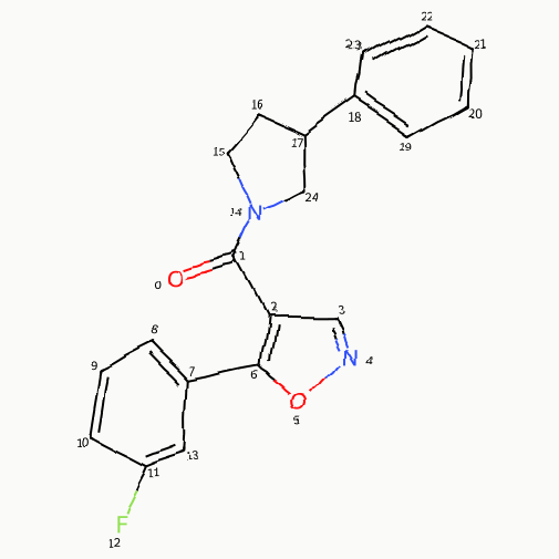 O=C(c1cnoc1-c1cccc(F)c1)N1CCC(c2ccccc2)C1